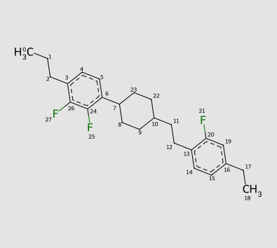 CCCc1ccc(C2CCC(CCc3ccc(CC)cc3F)CC2)c(F)c1F